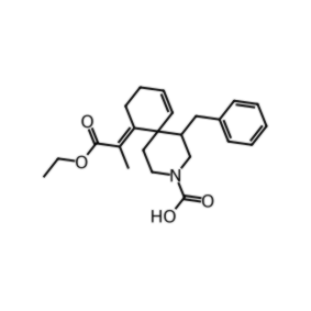 CCOC(=O)C(C)=C1CCC=CC12CCN(C(=O)O)CC2Cc1ccccc1